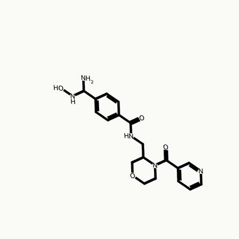 NC(NO)c1ccc(C(=O)NCC2COCCN2C(=O)c2cccnc2)cc1